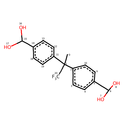 CC(c1ccc(C(O)O)cc1)(c1ccc(C(O)O)cc1)C(F)(F)F